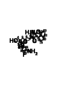 CC(C)CN(C(CO)CCCCNC(=O)C(C(N)=O)c1cccc2ccccc12)[S+]([O-])c1ccc(F)c(N)c1